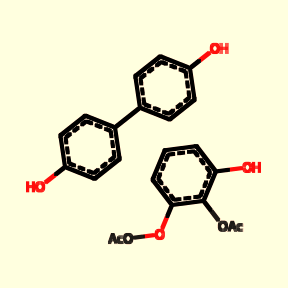 CC(=O)OOc1cccc(O)c1OC(C)=O.Oc1ccc(-c2ccc(O)cc2)cc1